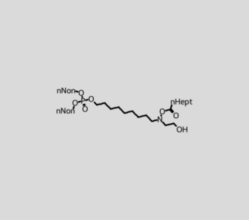 CCCCCCCCCOP(=O)(OCCCCCCCCC)OCCCCCCCCCN(CCO)OC(=O)CCCCCCC